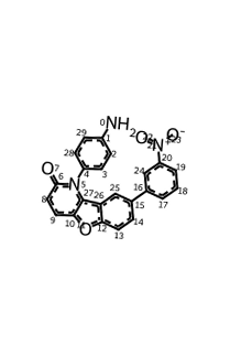 Nc1ccc(-n2c(=O)ccc3oc4ccc(-c5cccc([N+](=O)[O-])c5)cc4c32)cc1